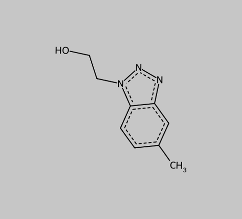 Cc1ccc2c(c1)nnn2CCO